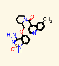 Cc1ccc2nccc(C(=O)N3CCCCC3COc3cccc4c3C(N)=N[S+]([O-])N4)c2c1